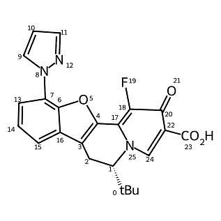 CC(C)(C)[C@@H]1Cc2c(oc3c(-n4cccn4)cccc23)-c2c(F)c(=O)c(C(=O)O)cn21